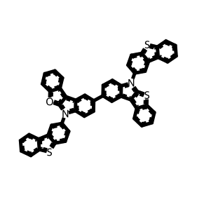 c1ccc2c(c1)oc1c2c2cc(-c3ccc4c(c3)c3c5ccccc5sc3n4-c3ccc4sc5ccccc5c4c3)ccc2n1-c1ccc2sc3ccccc3c2c1